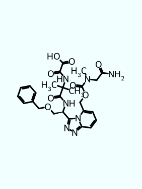 CN(CC(N)=O)C(=O)OCc1cccc2nnc([C@@H](COCc3ccccc3)NC(=O)C(C)(C)NC(=O)C(=O)O)n12